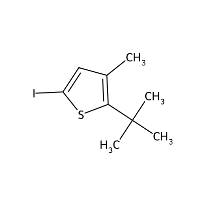 Cc1cc(I)sc1C(C)(C)C